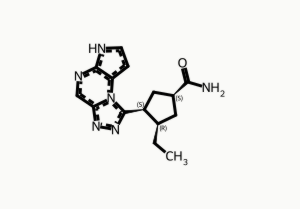 CC[C@@H]1C[C@H](C(N)=O)C[C@@H]1c1nnc2cnc3[nH]ccc3n12